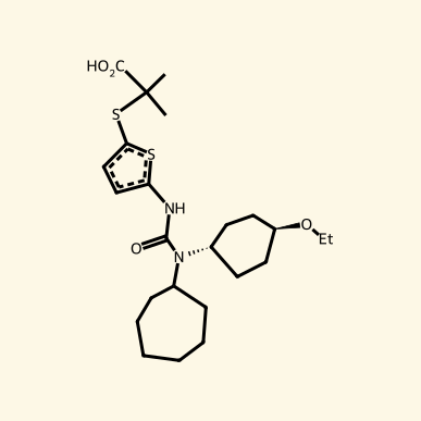 CCO[C@H]1CC[C@H](N(C(=O)Nc2ccc(SC(C)(C)C(=O)O)s2)C2CCCCCC2)CC1